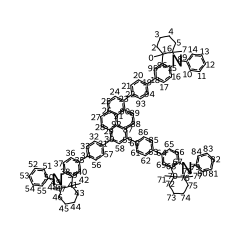 CC12CCCCC1(C)N(c1ccccc1)c1ccc(-c3ccc(-c4ccc5ccc6c(-c7ccc(-c8ccc9c(c8)C8(C)CCCCC8(C)N9c8ccccc8)cc7)cc(-c7ccc(-c8ccc9c(c8)C8(C)CCCCC8(C)N9c8ccccc8)cc7)c7ccc4c5c67)cc3)cc12